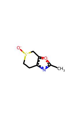 Cc1nc2c(o1)C[S+]([O-])CC2